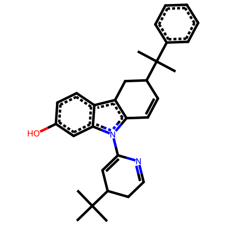 CC(C)(C)C1C=C(n2c3c(c4ccc(O)cc42)CC(C(C)(C)c2ccccc2)C=C3)N=CC1